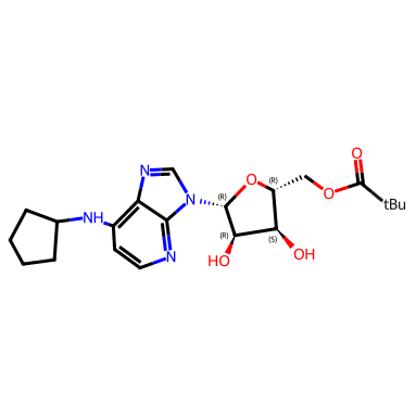 CC(C)(C)C(=O)OC[C@H]1O[C@@H](n2cnc3c(NC4CCCC4)ccnc32)[C@H](O)[C@@H]1O